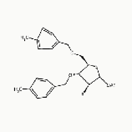 CC(=O)OC1S[C@H](COCc2ccc(C)cc2)[C@@H](OCc2ccc(C)cc2)[C@@H]1F